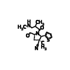 CNCC(C)C(=O)N1C(C=O)C[C@](C)(C#N)C1c1cccs1